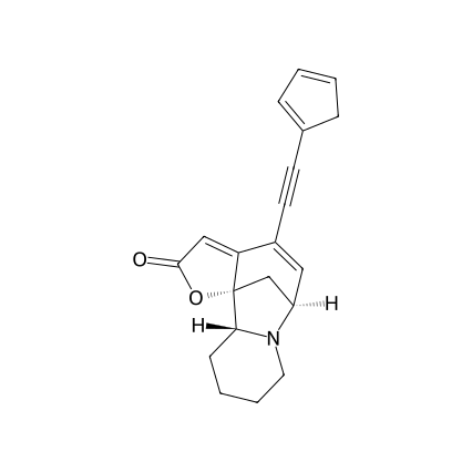 O=C1C=C2C(C#CC3=CC=CC3)=C[C@@H]3C[C@@]2(O1)[C@H]1CCCCN31